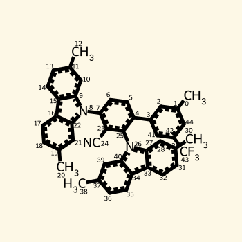 Cc1cc(-c2ccc(-n3c4cc(C)ccc4c4ccc(C)cc43)c(C#N)c2-n2c3cc(C)ccc3c3ccc(C)cc32)cc(C(F)(F)F)c1